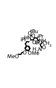 COCCCOc1cc(C[C@@H](C[C@H](NC(=O)OC(C)(C)C)[C@@H](O)C[C@H](C(=O)N[C@H](C)CC(N)=O)C(C)C)C(C)C)ccc1OC